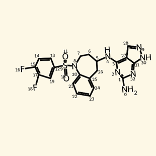 Nc1nc(NC2CCN(S(=O)(=O)c3ccc(F)c(F)c3)c3ccccc3C2)c2cn[nH]c2n1